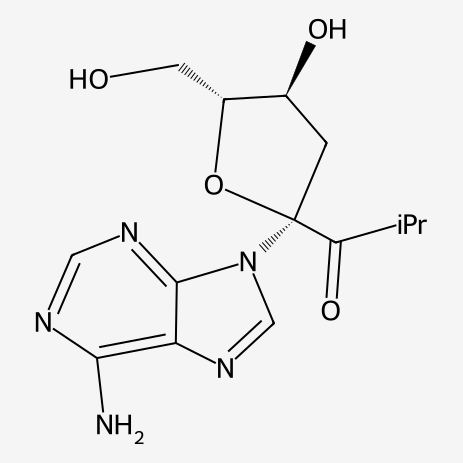 CC(C)C(=O)[C@]1(n2cnc3c(N)ncnc32)C[C@H](O)[C@@H](CO)O1